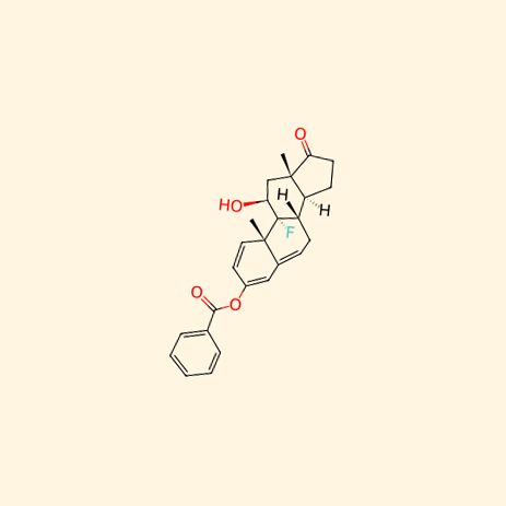 C[C@]12C=CC(OC(=O)c3ccccc3)=CC1=CC[C@H]1[C@@H]3CCC(=O)[C@@]3(C)C[C@H](O)[C@@]12F